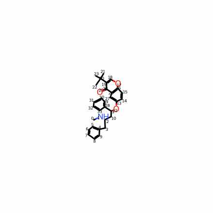 CNC(Cc1ccccc1)CC(Oc1ccc2occ(C(C)(C)C)c(=O)c2c1)c1ccccc1